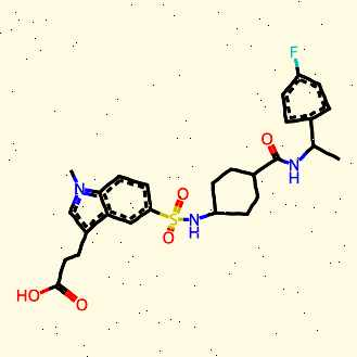 CC(NC(=O)C1CCC(NS(=O)(=O)c2ccc3c(c2)c(CCC(=O)O)cn3C)CC1)c1ccc(F)cc1